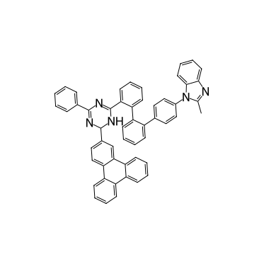 Cc1nc2ccccc2n1-c1ccc(-c2ccccc2-c2ccccc2C2=NC(c3ccccc3)=NC(c3ccc4c5ccccc5c5ccccc5c4c3)N2)cc1